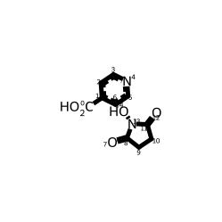 O=C(O)c1ccncc1.O=C1CCC(=O)N1O